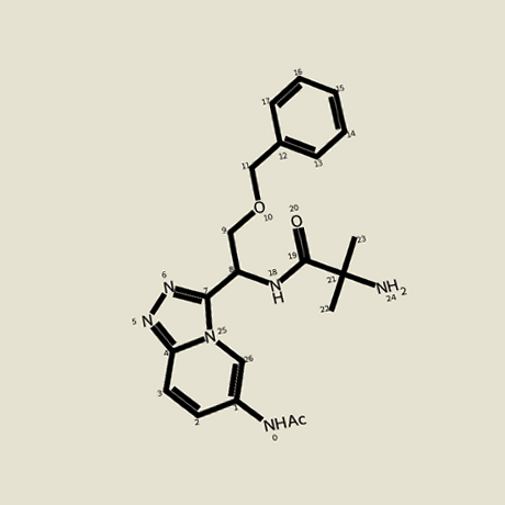 CC(=O)Nc1ccc2nnc(C(COCc3ccccc3)NC(=O)C(C)(C)N)n2c1